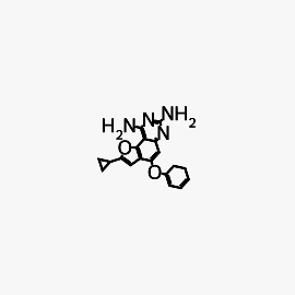 Nc1nc(N)c2c(cc(OC3=CC=CCC3)c3cc(C4CC4)oc32)n1